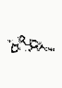 CCCc1c(Cc2ccnn2-c2ncccc2C#N)ncn2nc(OC)nc12